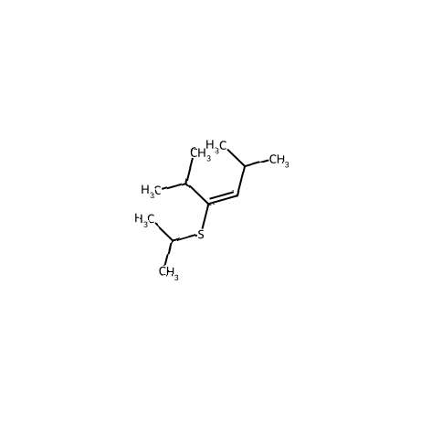 CC(C)/C=C(/SC(C)C)C(C)C